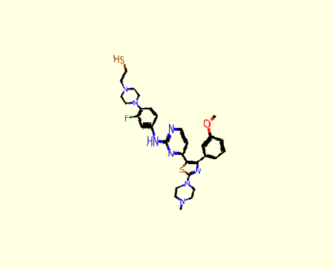 COc1cccc(-c2nc(N3CCN(C)CC3)sc2-c2ccnc(Nc3ccc(N4CCN(CCS)CC4)c(F)c3)n2)c1